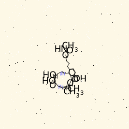 CNC(=O)OCCCCc1ccc(O)c2c1/C=C/C[C@H](O)C(O)C(=O)/C=C\[C@@H](C)[C@H](C)OC2=O